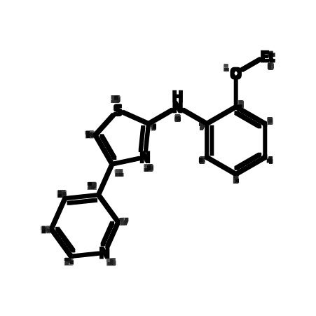 CCOc1ccccc1Nc1nc(-c2cccnc2)cs1